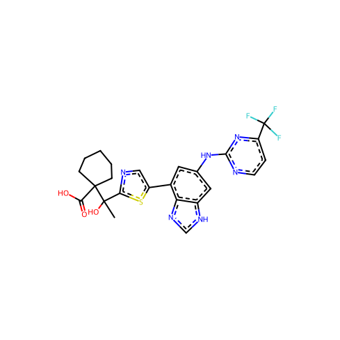 CC(O)(c1ncc(-c2cc(Nc3nccc(C(F)(F)F)n3)cc3[nH]cnc23)s1)C1(C(=O)O)CCCCC1